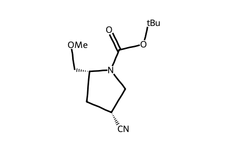 COC[C@H]1C[C@@H](C#N)CN1C(=O)OC(C)(C)C